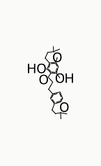 CC1(C)CCc2cc(CCC(=O)c3c(O)cc4c(c3O)CCC(C)(C)O4)ccc2O1